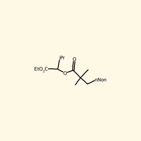 CCCCCCCCCCC(C)(C)C(=O)OC(C(=O)OCC)C(C)C